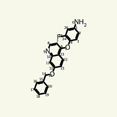 Nc1ccc(Oc2ccnc3cc(OCc4ccccc4)ccc23)c(F)c1